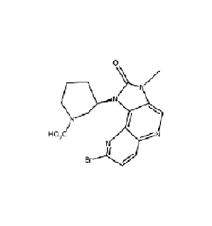 Cn1c(=O)n([C@@H]2CCCN(C(=O)O)C2)c2c3nc(Br)ccc3ncc21